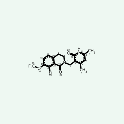 Cc1cc(C)c(CN2CCc3ccc(OC(F)(F)F)c(Cl)c3C2=O)c(=O)[nH]1